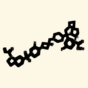 C=CC(=O)N1CCc2ccc(S(=O)(=O)c3ccc(N4CC(F)(CN5CCC(C(CN6CCC6)(c6cccc(F)c6)[C@H]6CCC[C@@H]6NC(=O)OC)CC5)C4)c(F)c3)cc21